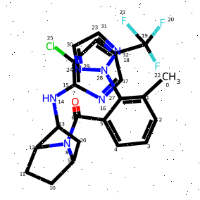 Cc1cccc(C(=O)N2C3CCC2C(Nc2ncc(C(F)(F)F)cc2Cl)C3)c1-n1nccn1